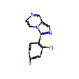 Fc1ccc(-c2ncc3cnccn23)c(Cl)c1